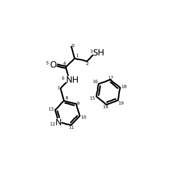 CC(CS)C(=O)NCc1cccnc1.c1ccccc1